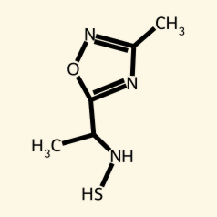 Cc1noc(C(C)NS)n1